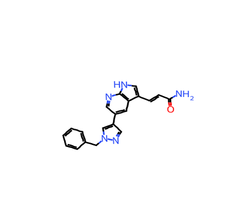 NC(=O)C=Cc1c[nH]c2ncc(-c3cnn(Cc4ccccc4)c3)cc12